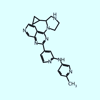 Cc1ccc(Nc2cc(-c3nc(N4CCNCC4C4CC4)c4ccncc4n3)ccn2)cn1